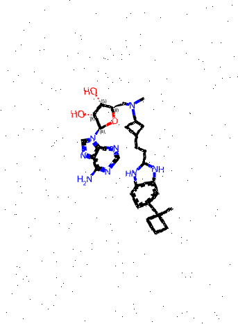 CN(C[C@H]1O[C@@H](n2cnc3c(N)ncnc32)[C@H](O)[C@@H]1O)C1CC(CCC2Nc3ccc(C4(C)CCC4)cc3N2)C1